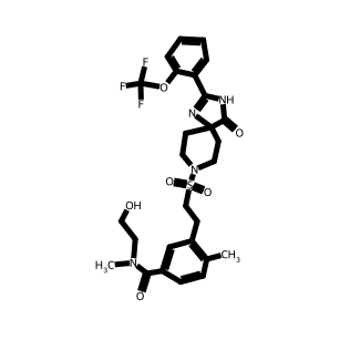 Cc1ccc(C(=O)N(C)CCO)cc1CCS(=O)(=O)N1CCC2(CC1)N=C(c1ccccc1OC(F)(F)F)NC2=O